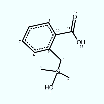 C[Si](C)(O)Cc1ccccc1C(=O)O